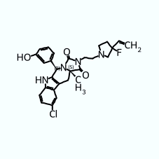 C=CC1(F)CCN(CCN2C(=O)N3[C@H](c4cccc(O)c4)c4[nH]c5ccc(Cl)cc5c4C[C@@]3(C)C2=O)C1